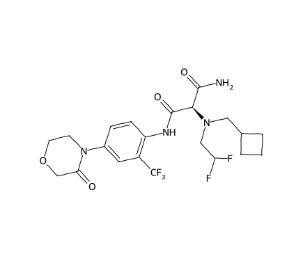 NC(=O)[C@H](C(=O)Nc1ccc(N2CCOCC2=O)cc1C(F)(F)F)N(CC(F)F)CC1CCC1